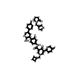 Nc1ncc(-c2ccc(C[C@@H]3CCC(=O)N3Cc3cncs3)cc2)cc1-c1ccc(NC(=O)c2cn(CC3CCC3)cc(-c3ccc(F)cn3)c2=O)cc1F